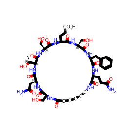 C[C@@H](O)[C@@H]1NC(=O)[C@H](CC(N)=O)NC(=O)C(CO)NC(=O)CCCCCNC(=O)C(CCC(N)=O)NC(=O)C(Cc2ccccc2)NC(=O)[C@H](CO)NC(=O)C(CCC(=O)O)NC(=O)[C@H](CO)NC1=O